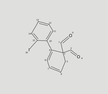 O=CC1(C=O)CC=CC=C1c1ccccc1I